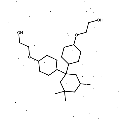 CC1CC(C)(C)CC(C2CCC(OCCO)CC2)(C2CCC(OCCO)CC2)C1